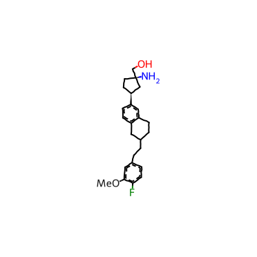 COc1cc(CCC2CCc3cc([C@H]4CC[C@](N)(CO)C4)ccc3C2)ccc1F